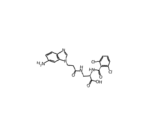 Nc1ccc2ncn(CCC(=O)NCC(NC(=O)c3c(Cl)cccc3Cl)C(=O)O)c2c1